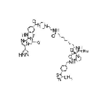 Cc1ncsc1-c1ccc(CNC(=O)[C@@H]2CCCN2C(=O)[C@@H](NC(=O)CCCCCCCC(=O)NCCN2CCN(C(=O)c3ccc(Nc4nc(C5CC5)cn5c(-c6cn[nH]c6)cnc45)c(F)c3)CC2)C(C)(C)C)cc1